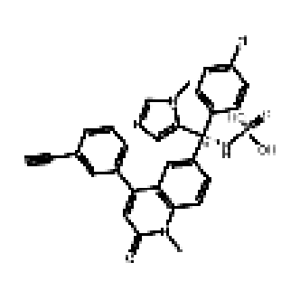 C#Cc1cccc(-c2cc(=O)n(C)c3ccc([C@](NP(=O)(O)O)(c4ccc(Cl)cc4)c4cncn4C)cc23)c1